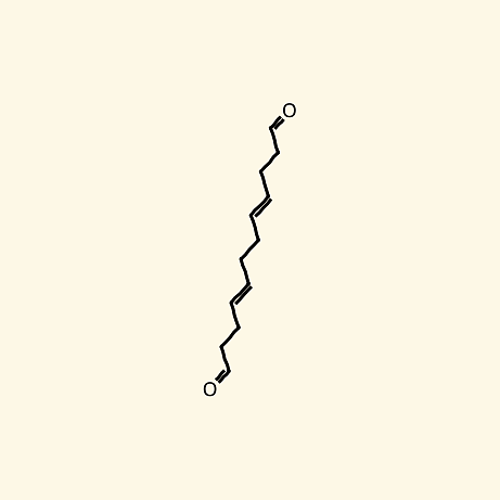 O=CCC/C=C/CC/C=C/CCC=O